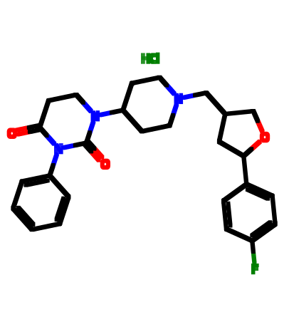 Cl.O=C1CCN(C2CCN(CC3COC(c4ccc(F)cc4)C3)CC2)C(=O)N1c1ccccc1